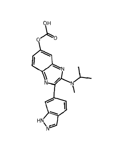 CC(C)N(C)c1nc2cc(OC(=O)O)ccc2nc1-c1ccc2cn[nH]c2c1